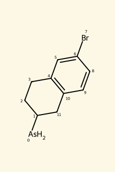 [AsH2]C1CCc2cc(Br)ccc2C1